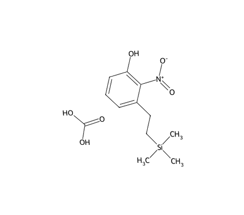 C[Si](C)(C)CCc1cccc(O)c1[N+](=O)[O-].O=C(O)O